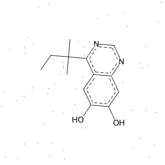 CCC(C)(C)c1ncnc2cc(O)c(O)cc12